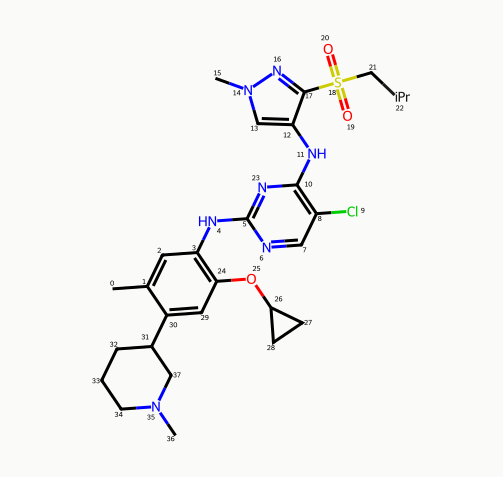 Cc1cc(Nc2ncc(Cl)c(Nc3cn(C)nc3S(=O)(=O)CC(C)C)n2)c(OC2CC2)cc1C1CCCN(C)C1